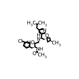 CC(=O)N[C@@H](Cc1ccc(Cl)cc1)[C@H](O)CN[C@H]1C[C@]2(C[C@H](C)C2)Oc2ncc(CC(C)C)cc21